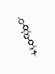 COc1cc(N2CCN(C)CC2)ccc1Nc1nccc(-c2ccc(NC(=O)[C@@H]3CC3(F)F)cc2)n1